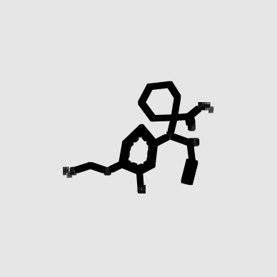 C#CC(=O)N(c1ccc(OCC(F)(F)F)c(Cl)c1)C1(C(N)=O)CCCCC1